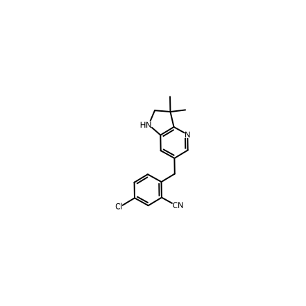 CC1(C)CNc2cc(Cc3ccc(Cl)cc3C#N)cnc21